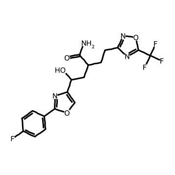 NC(=O)C(CCc1noc(C(F)(F)F)n1)CC(O)c1coc(-c2ccc(F)cc2)n1